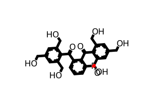 O=Pc1cccc(C(=O)c2c(CO)cc(CO)cc2CO)c1C(=O)c1c(CO)cc(CO)cc1CO